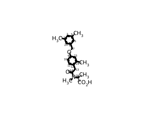 Cc1cc(C)cc(COc2ccc(CC(=O)N(C)[C@H](C)C(=O)O)c(C)c2)c1